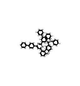 c1ccc(-c2ccc(-c3cc(-c4cccc5oc6ccc(-c7nc8ccccc8n7-c7ccccc7)cc6c45)nc(-c4cccc(-c5ccccc5)c4)n3)cc2)cc1